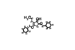 C=CCC1C(OCc2ccccc2)CC(OCc2ccccc2)C1O